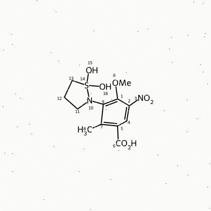 COc1c([N+](=O)[O-])cc(C(=O)O)c(C)c1N1CCCS1(O)O